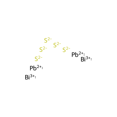 [Bi+3].[Bi+3].[Pb+2].[Pb+2].[S-2].[S-2].[S-2].[S-2].[S-2]